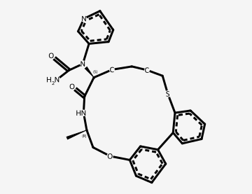 C[C@@H]1COc2cccc(c2)-c2ccccc2SCCCC[C@H](N(C(N)=O)c2cccnc2)C(=O)N1